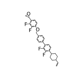 C=CC1CCC(c2ccc(-c3ccc(COc4ccc(C5CO5)c(F)c4F)cc3)c(F)c2F)CC1